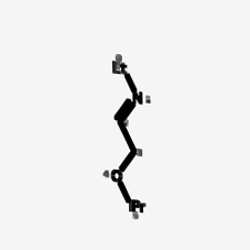 CC/N=C/COC(C)C